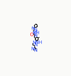 Cc1cc(Nc2nccc(-c3cn(C)cn3)n2)cc2cc(C(=O)NCc3nc4ccccc4n3C)[nH]c12